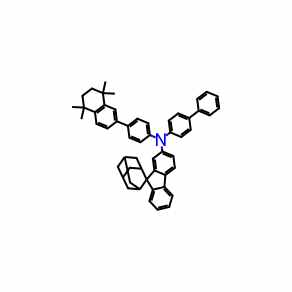 CC1(C)CCC(C)(C)c2cc(-c3ccc(N(c4ccc(-c5ccccc5)cc4)c4ccc5c(c4)C4(c6ccccc6-5)C5CC6CC(C5)CC4C6)cc3)ccc21